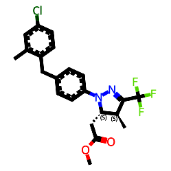 COC(=O)C[C@H]1[C@H](C)C(C(F)(F)F)=NN1c1ccc(Cc2ccc(Cl)cc2C)cc1